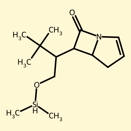 C[SiH](C)OCC(C1C(=O)N2C=CCC12)C(C)(C)C